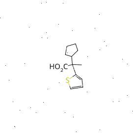 CC(C(=O)O)(c1cccs1)C1CCCC1